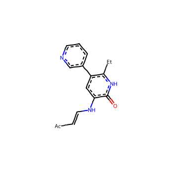 CCc1[nH]c(=O)c(NC=CC(C)=O)cc1-c1cccnc1